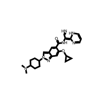 CN(C)C1CCC(n2cc3cc(C(=O)N/C(C=N)=C4\N=CC=CN4)c(OC4CC4)cc3n2)CC1